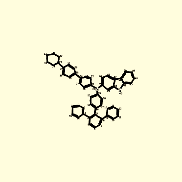 c1ccc(-c2cccc(-c3ccccc3)c2-c2ccc(N(c3ccc(-c4ccc(C5CCCCC5)cc4)cc3)c3ccc4c(c3)sc3ccccc34)cc2)cc1